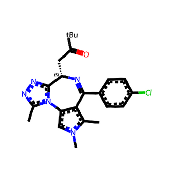 Cc1c2c(cn1C)-n1c(C)nnc1[C@H](CC(=O)C(C)(C)C)N=C2c1ccc(Cl)cc1